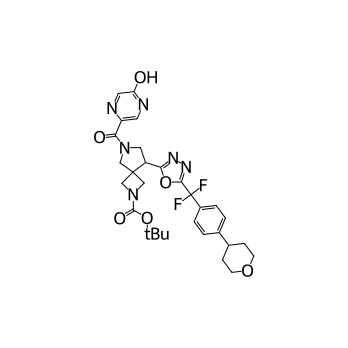 CC(C)(C)OC(=O)N1CC2(C1)CN(C(=O)c1cnc(O)cn1)CC2c1nnc(C(F)(F)c2ccc(C3CCOCC3)cc2)o1